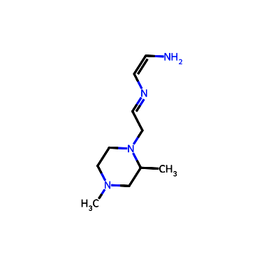 CC1CN(C)CCN1C/C=N/C=C\N